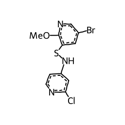 COc1ncc(Br)cc1SNc1ccnc(Cl)c1